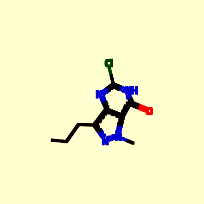 CCCc1nn(C)c2c(=O)[nH]c(Cl)nc12